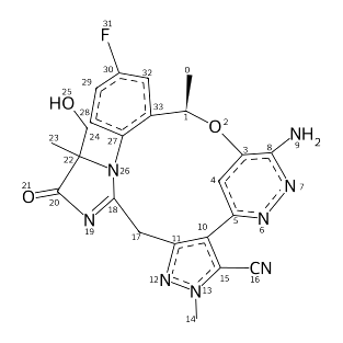 C[C@H]1Oc2cc(nnc2N)-c2c(nn(C)c2C#N)CC2=NC(=O)C(C)(CO)N2c2ccc(F)cc21